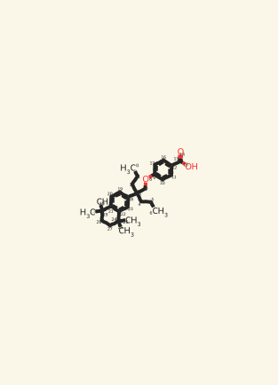 CCCC(CCC)(COc1ccc(C(=O)O)cc1)c1ccc2c(c1)C(C)(C)CCC2(C)C